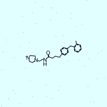 Cc1ccccc1Cc1ccc(CCCC(=O)NCCN2CCN(C)CC2)cc1